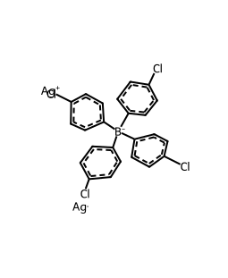 Clc1ccc([B-](c2ccc(Cl)cc2)(c2ccc(Cl)cc2)c2ccc(Cl)cc2)cc1.[Ag+].[Ag]